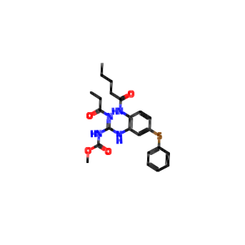 CCCCC(=O)Nc1ccc(Sc2ccccc2)cc1NC(=NC(=O)CC)NC(=O)OC